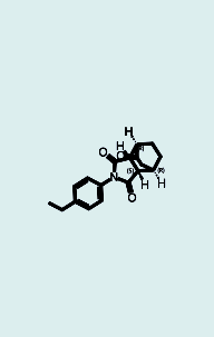 CCc1ccc(N2C(=O)[C@H]3[C@@H]4CC[C@@H](C(=O)C4)[C@H]3C2=O)cc1